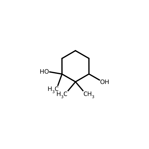 CC1(O)CCCC(O)C1(C)C